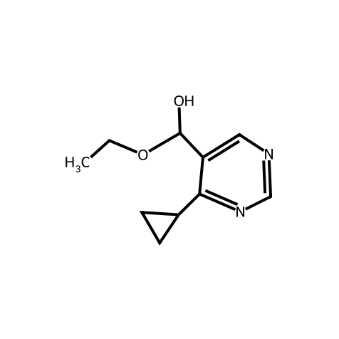 CCOC(O)c1cncnc1C1CC1